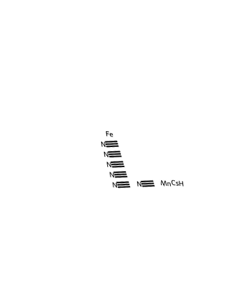 C#N.C#N.C#N.C#N.C#N.C#N.[CsH].[Fe].[Mn]